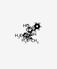 CCN(C)S(=O)(=O)N(CC(C)C)C[C@@H](O)[C@H](Cc1ccccc1)NC(=O)O